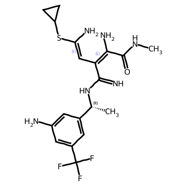 CNC(=O)/C(N)=C(/C=C(\N)SC1CC1)C(=N)N[C@H](C)c1cc(N)cc(C(F)(F)F)c1